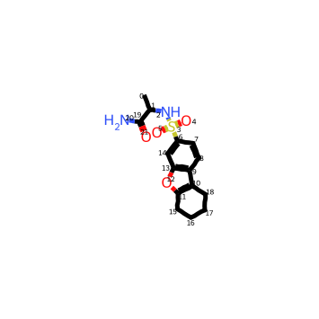 CC(NS(=O)(=O)c1ccc2c3c(oc2c1)CCCC3)C(N)=O